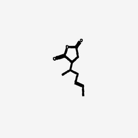 CC=CCC(C)C1CC(=O)OC1=O